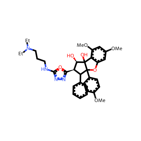 CCN(CC)CCCNc1nnc([C@@H]2C(c3ccccc3)C3(c4ccc(OC)cc4)Oc4cc(OC)cc(OC)c4C3(O)[C@@H]2O)o1